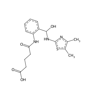 Cc1nc(NC(O)c2ccccc2NC(=O)CCCC(=O)O)sc1C